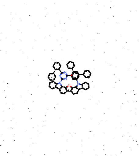 c1ccc(-c2ccc(-c3nc(-c4ccccc4-c4ccccc4)nc(-n4c5ccccc5c5ccc6c7ccc8c9ccccc9n(-c9ccc(-c%10ccccc%10)cc9)c8c7oc6c54)n3)cc2)cc1